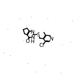 Cc1cncc(Cl)c1CSc1nc2c(c(=O)[nH]1)CCC2